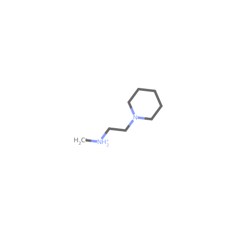 [CH2-][NH2+]CCN1CCCCC1